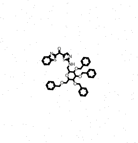 O=C(c1cnc(NCC2OC(COCc3ccccc3)C(OCc3ccccc3)C(OCc3ccccc3)C2OCc2ccccc2)s1)c1nc2ccccc2s1